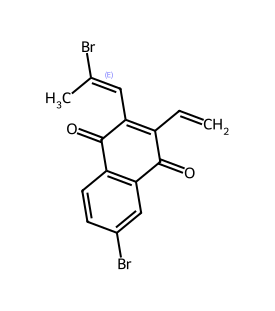 C=CC1=C(/C=C(\C)Br)C(=O)c2ccc(Br)cc2C1=O